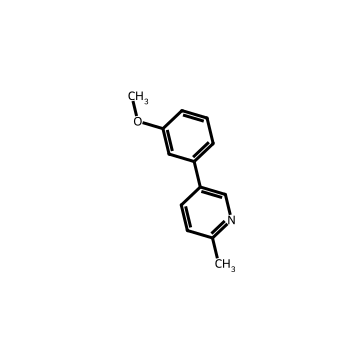 COc1cccc(-c2ccc(C)nc2)c1